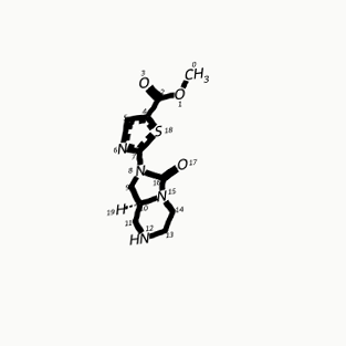 COC(=O)c1cnc(N2C[C@@H]3CNCCN3C2=O)s1